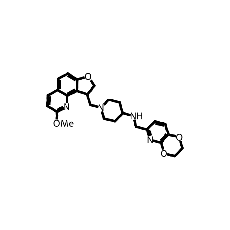 COc1ccc2ccc3c(c2n1)C(CN1CCC(NCc2ccc4c(n2)OCCO4)CC1)CO3